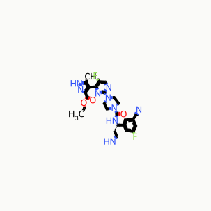 CCOC(=O)c1n[nH]c(C)c1-c1nc(N2CCN(C(=O)N[C@@H](CC=N)c3cc(F)cc(C#N)c3)CC2)ncc1F